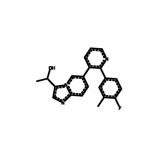 Cc1cc(-c2ncccc2-c2ccc3ncc(C(C)O)n3c2)ccc1F